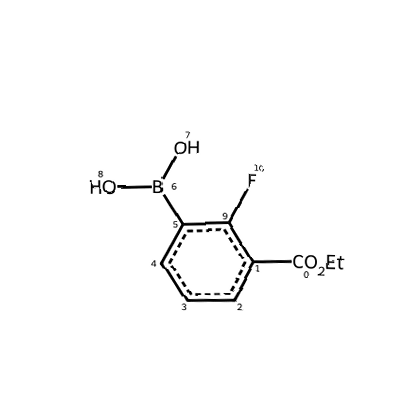 CCOC(=O)c1cccc(B(O)O)c1F